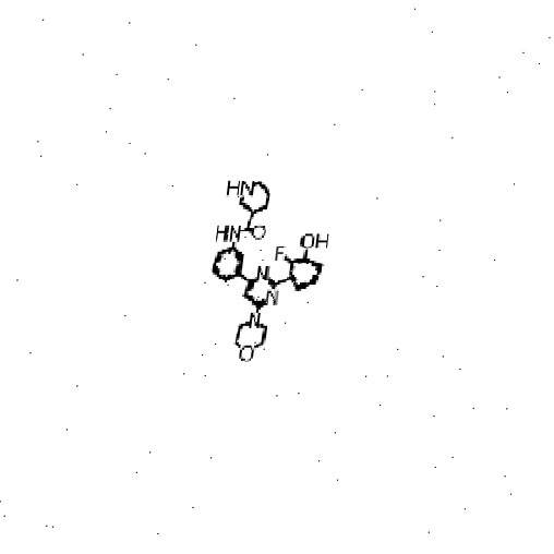 O=C(Nc1cccc(-c2cc(N3CCOCC3)nc(-c3cccc(O)c3F)n2)c1)C1CCCNC1